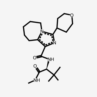 CNC(=O)[C@@H](NC(=O)c1nc(C2CCOCC2)n2c1CCCCC2)C(C)(C)C